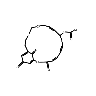 NC(=O)OC1C=CCCCCCCC2=CC(=O)C=C(NC(=O)C=CC=CC1)C2=O